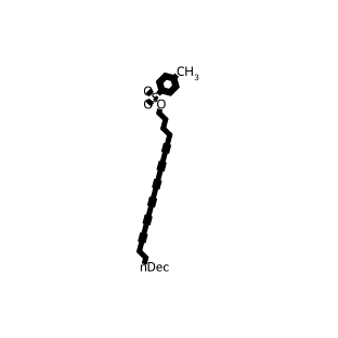 CCCCCCCCCCCCC#CC#CC#CC#CC#CC#CCCCCOS(=O)(=O)c1ccc(C)cc1